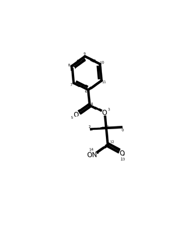 CC(C)(OC(=O)c1ccccc1)C(=O)N=O